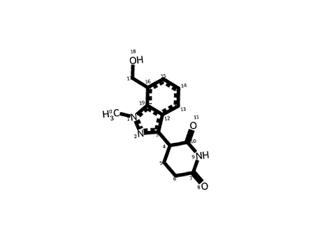 Cn1nc(C2CCC(=O)NC2=O)c2cccc(CO)c21